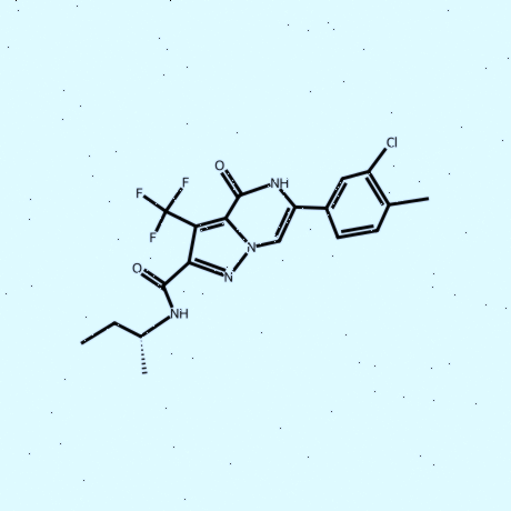 CC[C@@H](C)NC(=O)c1nn2cc(-c3ccc(C)c(Cl)c3)[nH]c(=O)c2c1C(F)(F)F